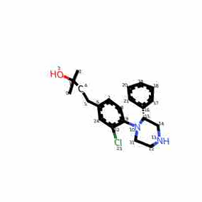 CC(C)(O)CCc1ccc(N2CCNC[C@H]2c2ccccc2)c(Cl)c1